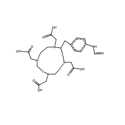 O=C(O)CN1CCN(CC(=O)O)CCN(CC(=O)O)C(Cc2ccc(NC=S)cc2)CN(CC(=O)O)CC1